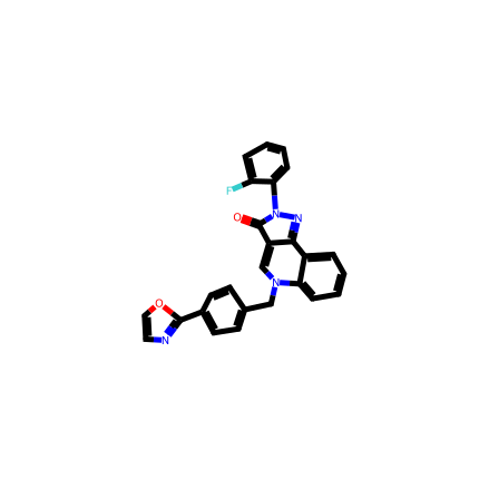 O=c1c2cn(Cc3ccc(-c4ncco4)cc3)c3ccccc3c-2nn1-c1ccccc1F